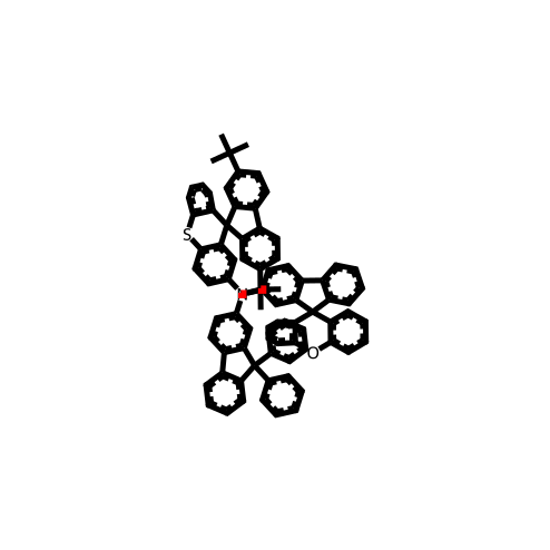 CC(C)(C)c1ccc2c(c1)C1(c3ccccc3Sc3ccc(N(c4ccc5c(c4)C(c4ccccc4)(c4ccccc4)c4ccccc4-5)c4ccc5c(c4)C4(c6ccccc6Oc6ccccc64)c4ccccc4-5)cc31)c1cc(C(C)(C)C)ccc1-2